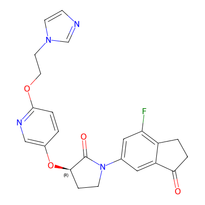 O=C1CCc2c(F)cc(N3CC[C@@H](Oc4ccc(OCCn5ccnc5)nc4)C3=O)cc21